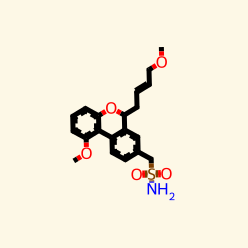 COC/C=C/CC1Oc2cccc(OC)c2-c2ccc(CS(N)(=O)=O)cc21